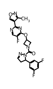 Cc1nocc1-c1ncc(F)c(OC2CN(C(=O)N3N=CCC3c3cc(F)cc(F)c3)C2)n1